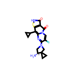 N[C@@H]1CN(c2nc3c(C4CC4)c4s[nH]c(=O)c4c(=O)n3cc2F)CC12CC2